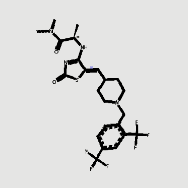 C[C@@H](NC1=NC(=O)S/C1=C\C1CCN(Cc2ccc(C(F)(F)F)cc2C(F)(F)F)CC1)C(=O)N(C)C